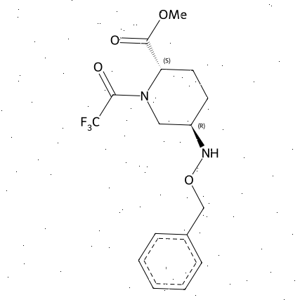 COC(=O)[C@@H]1CC[C@@H](NOCc2ccccc2)CN1C(=O)C(F)(F)F